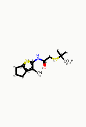 CC(C)(SCC(=O)Nc1sc2c(c1C#N)CCC2)C(=O)O